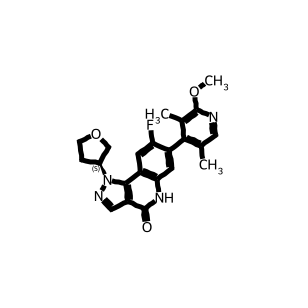 COc1ncc(C)c(-c2cc3[nH]c(=O)c4cnn([C@H]5CCOC5)c4c3cc2F)c1C